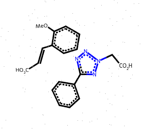 COc1ccccc1C=CC(=O)O.O=C(O)Cn1nnc(-c2ccccc2)n1